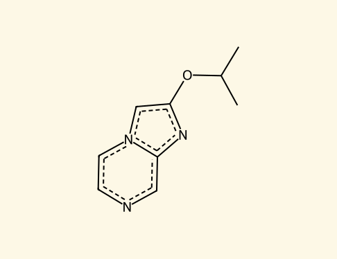 CC(C)Oc1cn2ccncc2n1